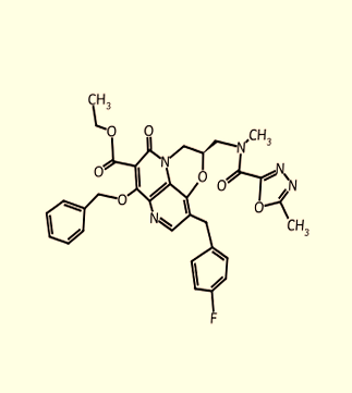 CCOC(=O)c1c(OCc2ccccc2)c2ncc(Cc3ccc(F)cc3)c3c2n(c1=O)C[C@@H](CN(C)C(=O)c1nnc(C)o1)O3